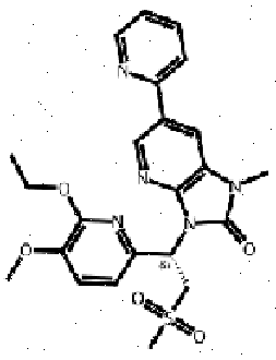 CCOc1nc([C@@H](CS(C)(=O)=O)n2c(=O)n(C)c3cc(-c4ccccn4)cnc32)ccc1OC